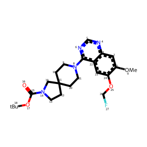 COc1cc2ncnc(N3CCC4(CCN(C(=O)OC(C)(C)C)C4)CC3)c2cc1OCF